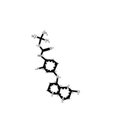 CC(C)(C)OC(=O)Nc1ccc(Oc2ccnc3ncc(Cl)nc23)cc1F